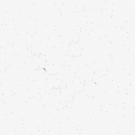 Fc1ccc([C@@H]2CCNC[C@H]2COc2ccc3c(c2)OCO3)cc1.O=C[C@H](O)[C@@H](O)[C@H](O)[C@H](O)C(=O)O